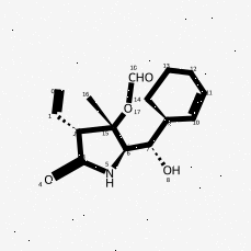 C=C[C@H]1C(=O)N[C@H]([C@@H](O)[C@@H]2C=CCCC2)[C@@]1(C)OC=O